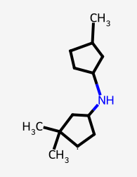 CC1CCC(NC2C[CH]C(C)(C)C2)C1